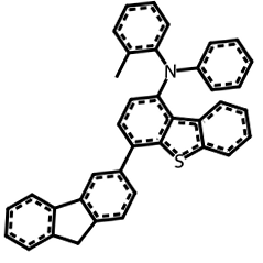 Cc1ccccc1N(c1ccccc1)c1ccc(-c2ccc3c(c2)-c2ccccc2C3)c2sc3ccccc3c12